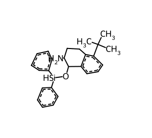 CC(C)(C)c1cccc2c1CCC(N)C2O[SiH](c1ccccc1)c1ccccc1